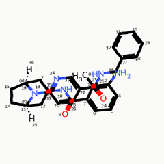 Cc1c(N)cccc1C(=O)N[C@H]1C[C@H]2CC[C@@H](C1)N2c1ccc(C(=O)NCc2ccccc2)cn1